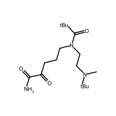 CN(CCN(CCCC(=O)C(N)=O)C(=O)C(C)(C)C)C(C)(C)C